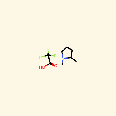 CC1CCCN1C.O=C(O)C(F)(F)F